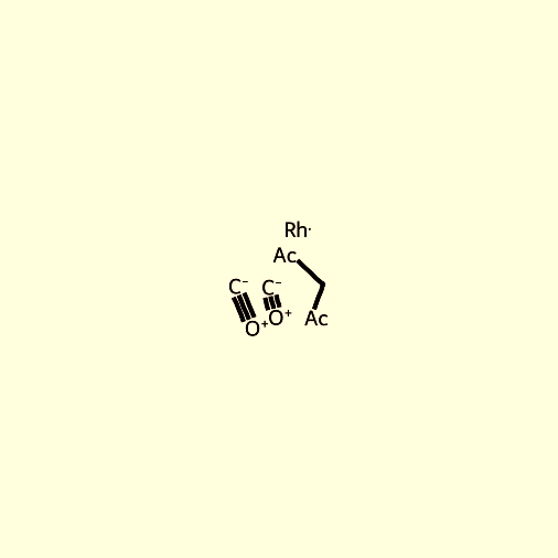 CC(=[OH+])CC(C)=[OH+].[C-]#[O+].[C-]#[O+].[Rh]